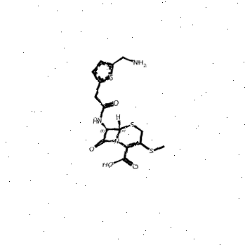 CSC1=C(C(=O)O)N2C(=O)[C@@H](NC(=O)Cc3ccc(CN)s3)[C@@H]2SC1